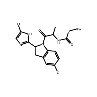 CCc1cnc(C2Cc3cc(Cl)ccc3N2C(=O)C(C)NC(=O)OC(C)(C)C)[nH]1